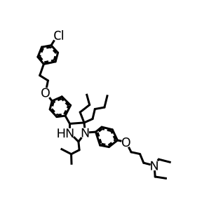 CCCCC1(CCC)C(c2ccc(OCCc3ccc(Cl)cc3)cc2)NC(CC(C)C)N1c1ccc(OCCCN(CC)CC)cc1